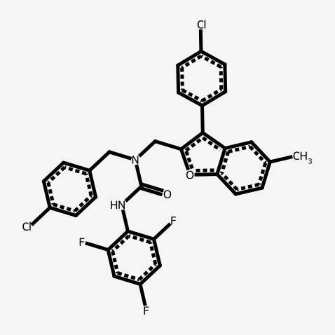 Cc1ccc2oc(CN(Cc3ccc(Cl)cc3)C(=O)Nc3c(F)cc(F)cc3F)c(-c3ccc(Cl)cc3)c2c1